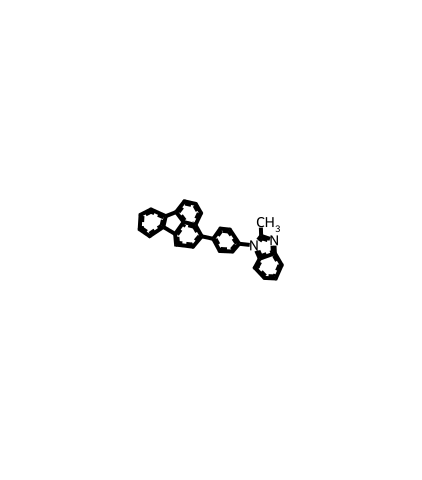 Cc1nc2ccccc2n1-c1ccc(-c2ccc3c4c(cccc24)-c2ccccc2-3)cc1